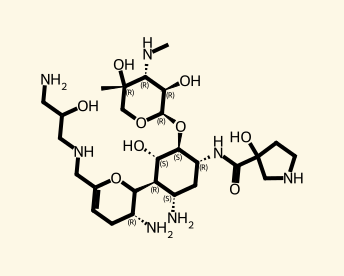 CN[C@@H]1[C@@H](O)[C@@H](O[C@@H]2[C@@H](O)[C@H](C3OC(CNCC(O)CN)=CC[C@H]3N)[C@@H](N)C[C@H]2NC(=O)C2(O)CCNC2)OC[C@]1(C)O